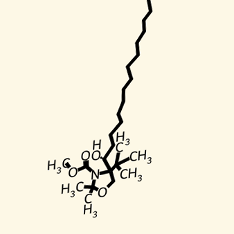 CCCCCCCCCCCCCCC[C@@H](O)C1(C(C)(C)C)COC(C)(C)N1C(=O)OC